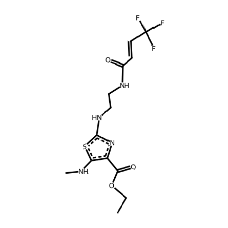 CCOC(=O)c1nc(NCCNC(=O)/C=C/C(F)(F)F)sc1NC